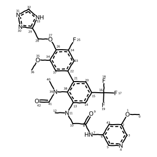 COc1cncc(NC(=O)CN(C)c2cc(C(F)(F)F)cc(-c3cc(F)c(OCc4nnc[nH]4)c(OC)c3)c2N(C)C=O)c1